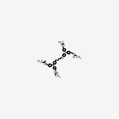 C=CC(=O)OCCc1ccc(N(c2ccc(COC(=O)C=C)cc2)c2ccc(OCCCCOc3ccc(N(c4ccc(CCOC(=O)C=C)cc4)c4ccc(COC(=O)C=C)cc4)cc3)cc2)cc1